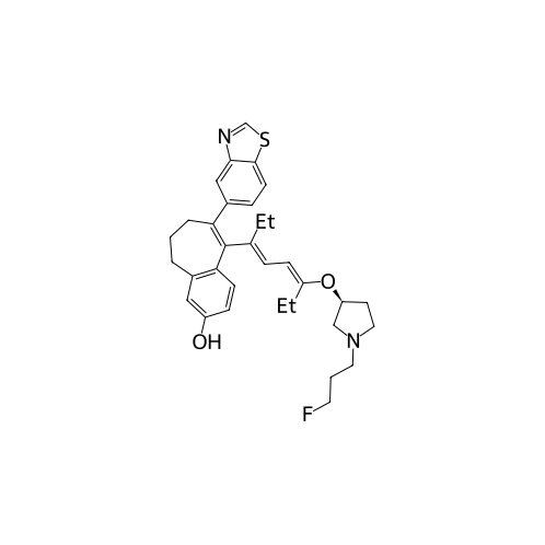 CC/C(=C\C=C(/CC)C1=C(c2ccc3scnc3c2)CCCc2cc(O)ccc21)O[C@H]1CCN(CCCF)C1